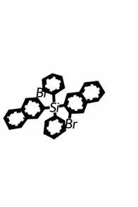 Brc1cc2ccccc2cc1[Si](c1ccccc1)(c1ccccc1)c1cc2ccccc2cc1Br